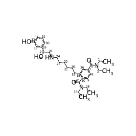 CCN(CC)C(=O)c1ccc(C(=O)N(CC)CC)c(CCCCCCNCC(O)c2cccc(O)c2)c1